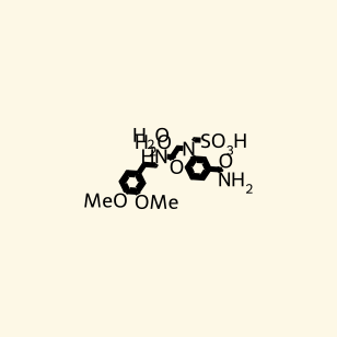 COc1ccc(CCNC(=O)CN(CS(=O)(=O)O)c2cccc(C(N)=O)c2)cc1OC.O.O